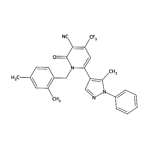 Cc1ccc(Cn2c(-c3cnn(-c4ccccc4)c3C)cc(C(F)(F)F)c(C#N)c2=O)c(C)c1